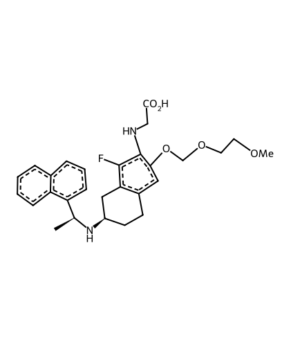 COCCOCOc1cc2c(c(F)c1NCC(=O)O)C[C@H](N[C@@H](C)c1cccc3ccccc13)CC2